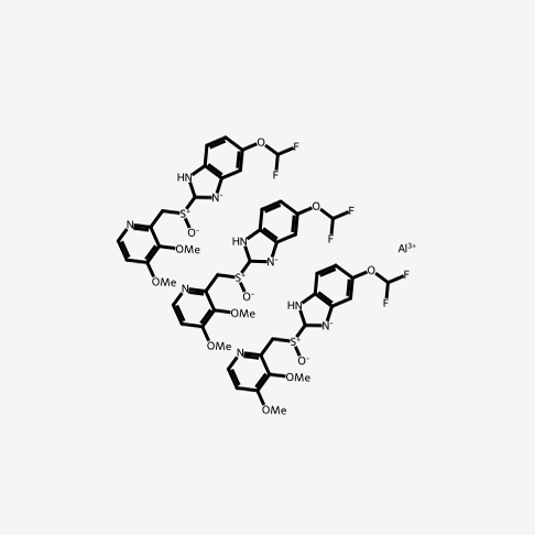 COc1ccnc(C[S+]([O-])C2[N-]c3cc(OC(F)F)ccc3N2)c1OC.COc1ccnc(C[S+]([O-])C2[N-]c3cc(OC(F)F)ccc3N2)c1OC.COc1ccnc(C[S+]([O-])C2[N-]c3cc(OC(F)F)ccc3N2)c1OC.[Al+3]